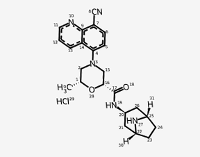 C[C@@H]1CN(c2ccc(C#N)c3ncccc23)C[C@H](C(=O)N[C@@H]2C[C@H]3CC[C@@H](C2)N3)O1.Cl